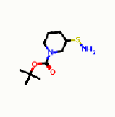 CC(C)(C)OC(=O)N1CCCC(SN)C1